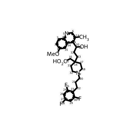 COc1ccc2ncc(C)c(C(O)CCC3(CC(=O)O)CCN(CCCc4c(F)cc(F)cc4F)CC3)c2c1